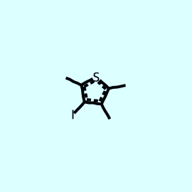 Cc1sc(C)c(I)c1C